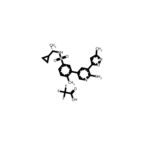 Cc1cc(-c2cc(-c3cc(S(=O)(=O)N[C@@H](C)C4CC4)ccc3C)cnc2N)on1.O=C(O)C(F)(F)F